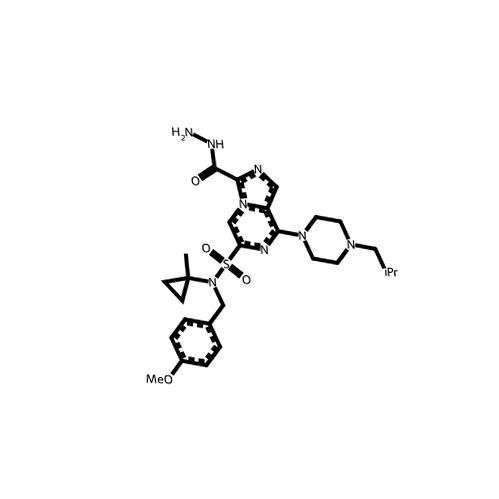 COc1ccc(CN(C2(C)CC2)S(=O)(=O)c2cn3c(C(=O)NN)ncc3c(N3CCN(CC(C)C)CC3)n2)cc1